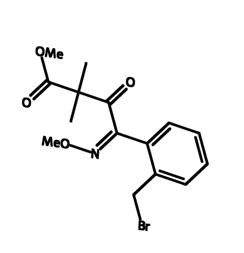 CON=C(C(=O)C(C)(C)C(=O)OC)c1ccccc1CBr